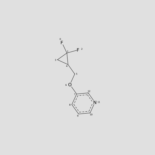 FC1(F)CC1COc1cccnc1